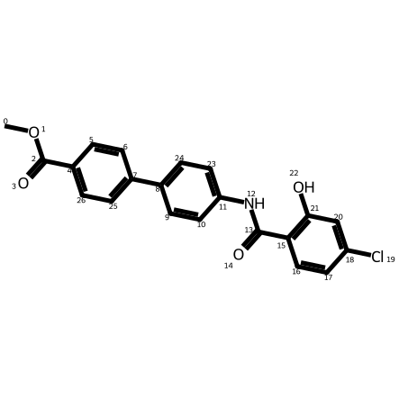 COC(=O)c1ccc(-c2ccc(NC(=O)c3ccc(Cl)cc3O)cc2)cc1